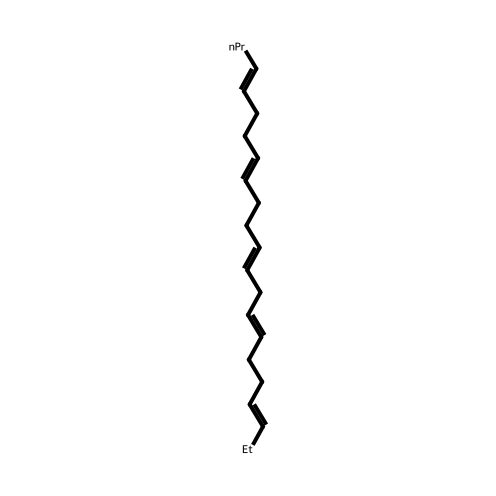 [CH2]CC/C=C/CC/C=C/CC/C=C/C/C=C/CC/C=C/CC